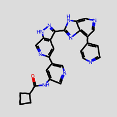 O=C(Nc1cncc(-c2cc3c(-c4nc5c(-c6ccncc6)cncc5[nH]4)n[nH]c3cn2)c1)C1CCC1